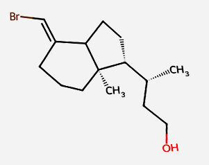 C[C@H](CCO)[C@H]1CCC2C(=CBr)CCC[C@@]21C